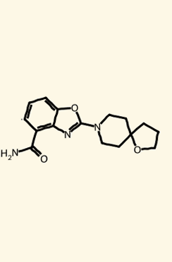 NC(=O)c1[c]ccc2oc(N3CCC4(CCCO4)CC3)nc12